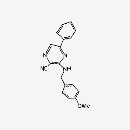 COc1ccc(CNc2nc(-c3ccccc3)cnc2C#N)cc1